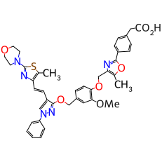 COc1cc(COc2nn(-c3ccccc3)cc2C=Cc2nc(N3CCOCC3)sc2C)ccc1OCc1nc(-c2ccc(CC(=O)O)cc2)oc1C